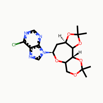 CC1(C)OCC2O[C@@H](n3cnc4c(Cl)ncnc43)C[C@H]3OC(C)(C)OC3[C@@H]2O1